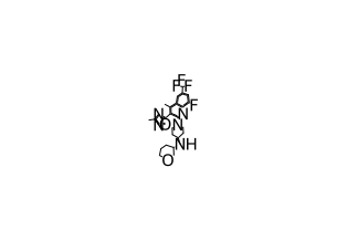 Cc1noc(-c2c(N3CCC(N[C@H]4CCCOC4)CC3)nc3c(F)cc(C(F)(F)F)cc3c2C)n1